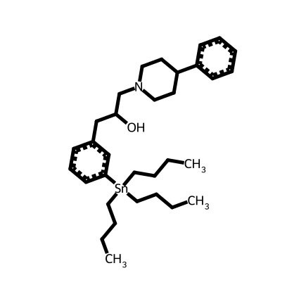 CCC[CH2][Sn]([CH2]CCC)([CH2]CCC)[c]1cccc(CC(O)CN2CCC(c3ccccc3)CC2)c1